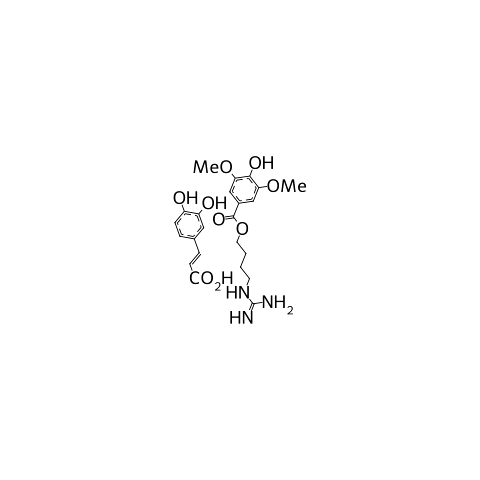 COc1cc(C(=O)OCCCCNC(=N)N)cc(OC)c1O.O=C(O)C=Cc1ccc(O)c(O)c1